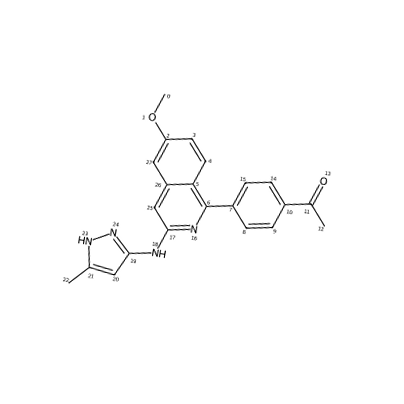 COc1ccc2c(-c3ccc(C(C)=O)cc3)nc(Nc3cc(C)[nH]n3)cc2c1